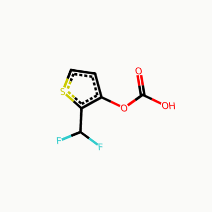 O=C(O)Oc1ccsc1C(F)F